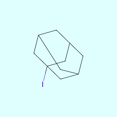 IC12CC3CC(CC(C3)C1)C2